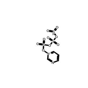 O=[SH](=O)OS(=O)(=O)OS(=O)(=O)O[n+]1cccnc1